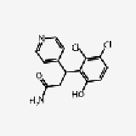 NC(=O)CC(c1ccncc1)c1c(O)ccc(Cl)c1Cl